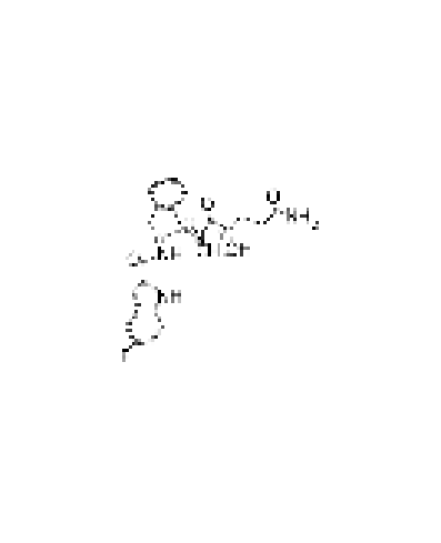 CN(C(=O)[C@@H](O)CCC(N)=O)[C@@H]1c2ccccc2C[C@H]1NC(=O)c1cc2cc(F)ccc2[nH]1